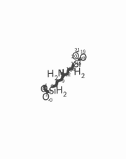 COC(OC)[SiH2]CCCCC(N)CCCC[SiH2]C(OC)OC